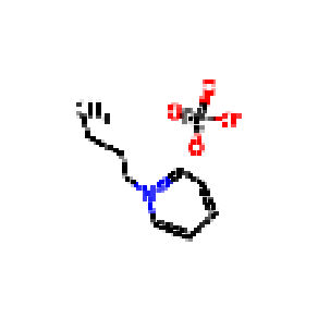 CCCC[n+]1ccccc1.[O]=[Re](=[O])(=[O])[O-]